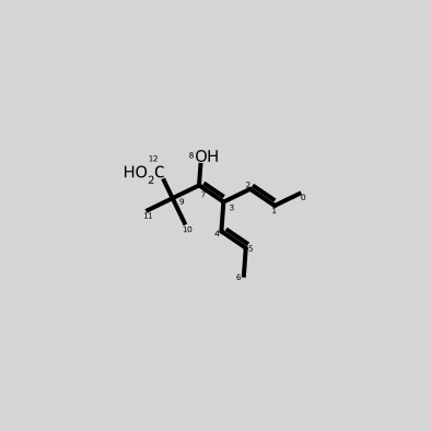 CC=CC(C=CC)=C(O)C(C)(C)C(=O)O